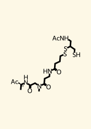 CC(=O)NCC(CS)SSCCCC(=O)NCCC(=O)N(C)CC(=O)N[C@@H](C)C(C)=O